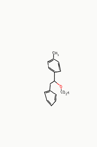 Cc1ccc(C(Cc2ccccc2)OC(=O)O)cc1